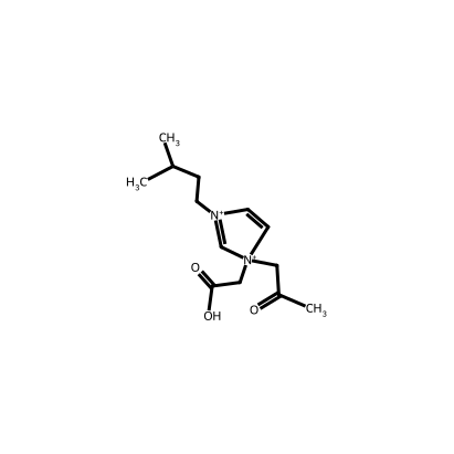 CC(=O)C[N+]1(CC(=O)O)C=C[N+](CCC(C)C)=C1